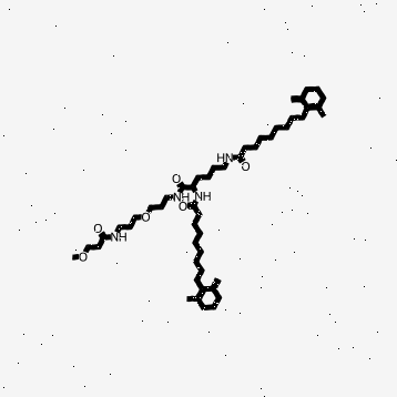 C=C1CCCC(C)=C1CCCCCCCCC(=O)NCCCCC(NC(=O)CCCCCCCCC1=C(C)CCCC1=C)C(=O)NCCCOCCCNC(=O)CCOC